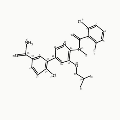 C=C(c1c(F)cccc1Cl)N(C)c1ncc(-c2cc(C(N)=O)ccc2Cl)cc1OCC(C)C